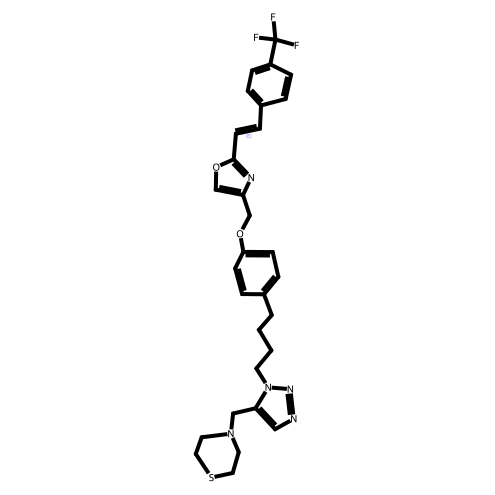 FC(F)(F)c1ccc(/C=C/c2nc(COc3ccc(CCCCn4nncc4CN4CCSCC4)cc3)co2)cc1